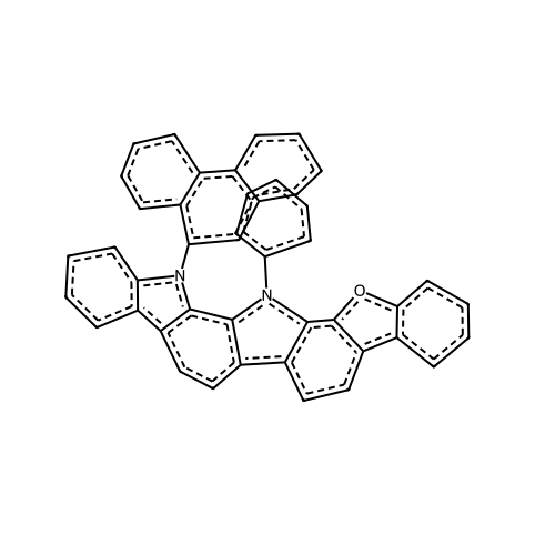 c1ccc(-n2c3c(ccc4c5ccccc5oc43)c3ccc4c5ccccc5n(-c5cc6ccccc6c6ccccc56)c4c32)cc1